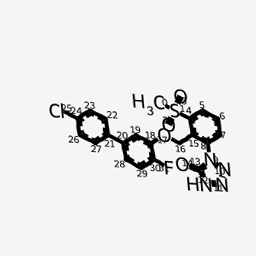 CS(=O)(=O)c1cccc(-n2nn[nH]c2=O)c1COc1cc(-c2ccc(Cl)cc2)ccc1F